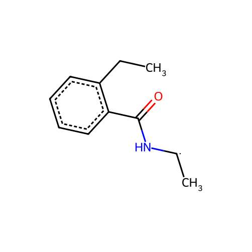 C[CH]NC(=O)c1ccccc1CC